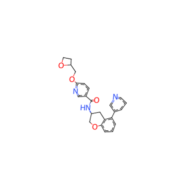 O=C(N[C@@H]1COc2cccc(-c3cccnc3)c2C1)c1ccc(OCC2CCO2)nc1